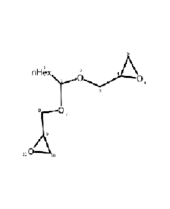 CCCCCCC(OCC1CO1)OCC1CO1